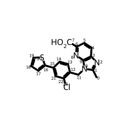 Cc1nc2ccc(C(=O)O)nc2n1Cc1ccc(-c2cccs2)cc1Cl